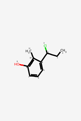 CCC(Cl)c1cccc(O)c1C